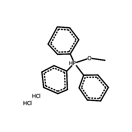 CO[PH](c1ccccc1)(c1ccccc1)c1ccccc1.Cl.Cl